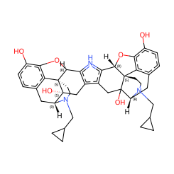 Oc1ccc2c3c1O[C@H]1c4[nH]c5c(c4CC4(O)[C@@H](C2)N(CC2CC2)CC[C@]314)C[C@@]1(O)[C@H]2Cc3ccc(O)c4c3[C@@]1(CCN2CC1CC1)[C@H]5O4